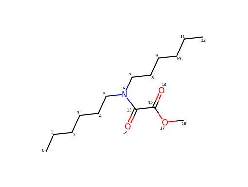 CCCCCCN(CCCCCC)C(=O)C(=O)OC